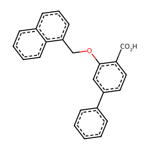 O=C(O)c1ccc(-c2ccccc2)cc1OCc1cccc2ccccc12